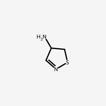 NC1C=NSC1